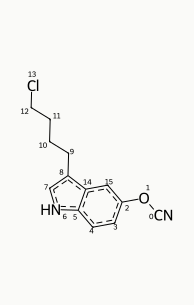 N#COc1ccc2[nH]cc(CCCCCl)c2c1